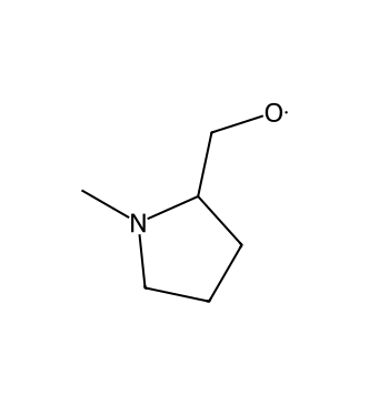 CN1CCCC1C[O]